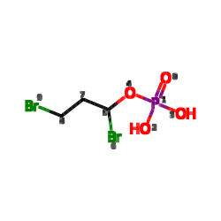 O=P(O)(O)OC(Br)CCBr